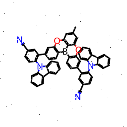 Cc1cc2c3c(c1)Oc1cc(-c4cc(C#N)ccc4-n4c5ccccc5c5ccccc54)ccc1B3c1ccc(-c3cc(C#N)ccc3-n3c4ccccc4c4ccccc43)cc1O2